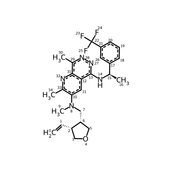 C=C[C@H]1COC[C@H]1CN(C)c1cc2c(N[C@H](C)c3cccc(C(F)(F)F)c3)nnc(C)c2nc1C